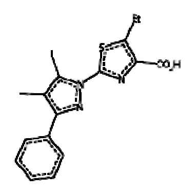 CCc1sc(-n2nc(-c3ccccc3)c(C)c2I)nc1C(=O)O